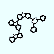 c1ccc(-c2nc(-c3ccccc3)nc(-c3ccc4oc5ccc(-n6c7ccccc7c7cc(-c8cccc9c8sc8ccccc89)ccc76)cc5c4c3)n2)cc1